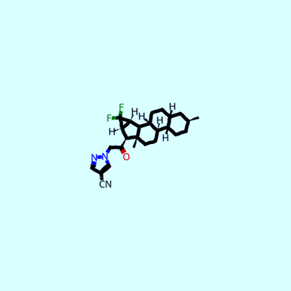 C[C@H]1CC[C@H]2[C@H](CC[C@H]3C4[C@H]5[C@@H]([C@H](C(=O)Cn6cc(C#N)cn6)[C@@]4(C)CC[C@H]23)C5(F)F)C1